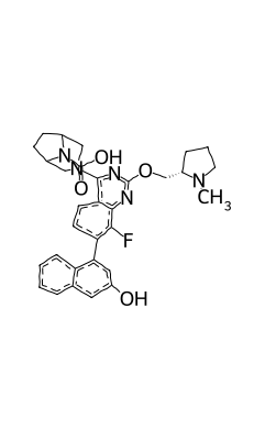 CN1CCC[C@H]1COc1nc(N2CC3CCC(C2)N3C(=O)O)c2ccc(-c3cc(O)cc4ccccc34)c(F)c2n1